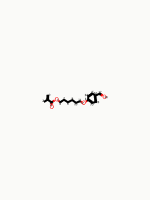 C=C(C)C(=O)OCCCCCCOc1c[c]c(C=O)cc1